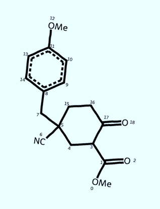 COC(=O)C1CC(C#N)(Cc2ccc(OC)cc2)CCC1=O